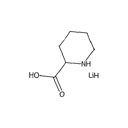 O=C(O)C1CCCCN1.[LiH]